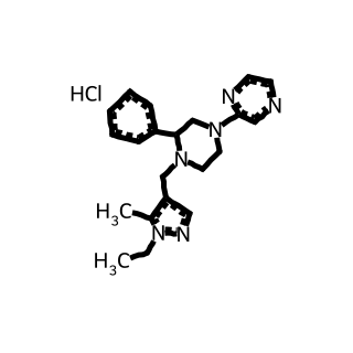 CCn1ncc(CN2CCN(c3cnccn3)CC2c2ccccc2)c1C.Cl